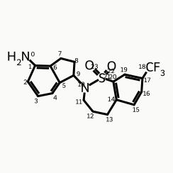 Nc1cccc2c1CCC2N1CCCc2ccc(C(F)(F)F)cc2S1(=O)=O